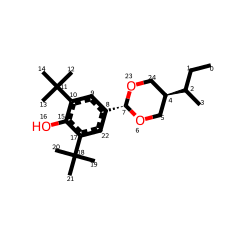 CCC(C)[C@H]1CO[C@H](c2cc(C(C)(C)C)c(O)c(C(C)(C)C)c2)OC1